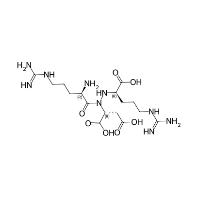 N=C(N)NCCC[C@@H](N)C(=O)N(N[C@H](CCCNC(=N)N)C(=O)O)[C@H](CC(=O)O)C(=O)O